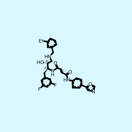 CCc1cccc(CNC[C@@H](O)[C@H](Cc2cc(F)cc(F)c2)NC(=O)/C=C/C(=O)Nc2ccc(-c3cnco3)cc2)c1